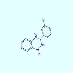 O=C1NC(c2cccc(Cl)c2)Nc2ccccc21